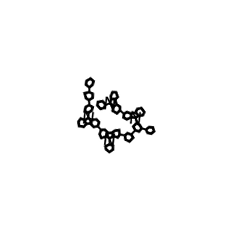 c1ccc(-c2ccc(-c3ccc(-n4c5ccccc5c5cc(-c6ccc7c(c6)c6ccc(-c8cccc(-c9cc(-c%10ccccc%10)cc(-n%10c%11ccccc%11c%11cc(-c%12ccc%13c(c%12)c%12ccccc%12n%13-c%12ccccc%12)ccc%11%10)c9)c8)cc6n7-c6ccccc6)ccc54)cc3)cc2)cc1